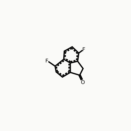 O=C1Cc2c(F)ccc3c(F)ccc1c23